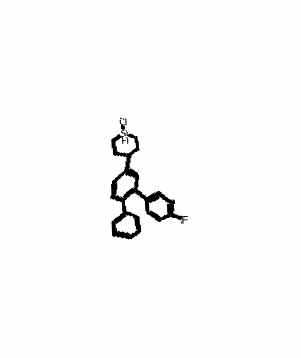 Fc1ccc(-c2cc(C3CC[SiH](Cl)CC3)ccc2-c2ccccc2)cc1